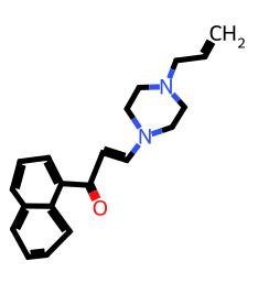 C=CCN1CCN(C=CC(=O)c2cccc3ccccc23)CC1